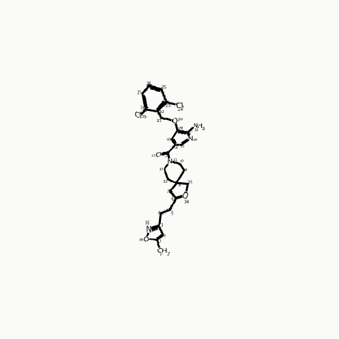 Cc1cc(CCC2CC3(CCN(C(=O)c4cnc(N)c(OCc5c(Cl)cccc5Cl)c4)CC3)CO2)no1